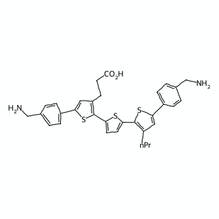 CCCc1cc(-c2ccc(CN)cc2)sc1-c1ccc(-c2sc(-c3ccc(CN)cc3)cc2CCC(=O)O)s1